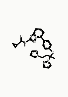 CC(CCn1cccn1)(Oc1ccc(-c2cccc3nc(NC(=O)C4CC4)nn23)cc1)n1cccn1